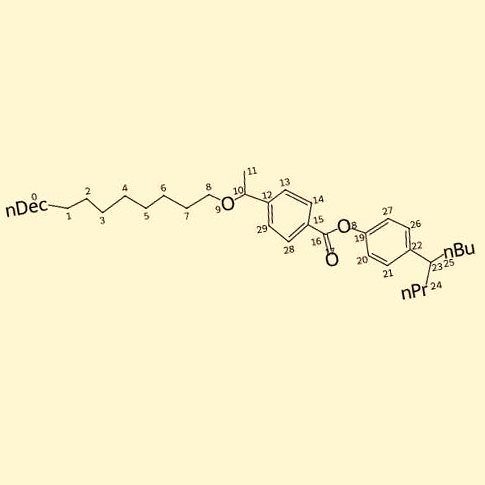 CCCCCCCCCCCCCCCCCCOC(C)c1ccc(C(=O)Oc2ccc(C(CCC)CCCC)cc2)cc1